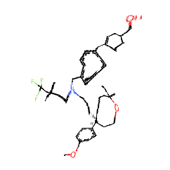 COc1ccc([C@]2(CCN(Cc3ccc(C4=CCC(CO)CC4)cc3)CC(C)(C)C(F)(F)F)CCOC(C)(C)C2)cc1